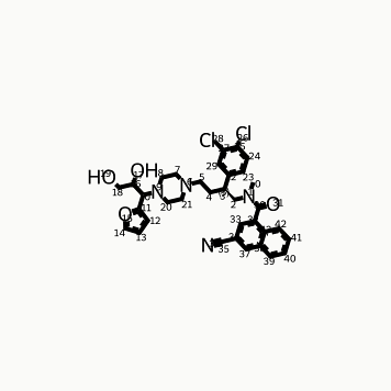 CN(C[C@@H](CCN1CCN(C(c2ccco2)C(O)CO)CC1)c1ccc(Cl)c(Cl)c1)C(=O)c1cc(C#N)cc2ccccc12